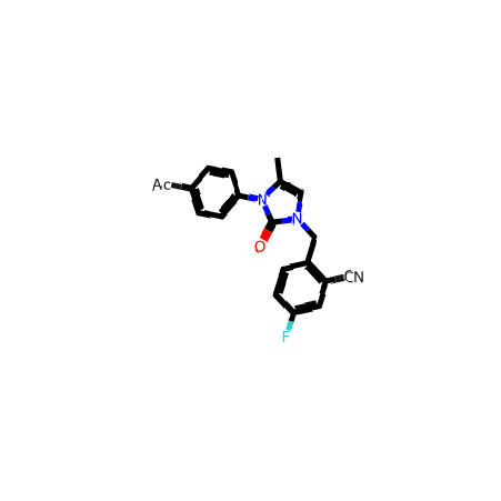 CC(=O)c1ccc(-n2c(C)cn(Cc3ccc(F)cc3C#N)c2=O)cc1